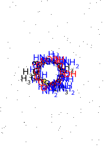 CCCC[C@@H]1NC(=O)CSC[C@@H](C(=O)NCC(N)=O)NC(=O)[C@H](Cc2cncn2C)NC(=O)[C@H](CCCNC(=N)N)NC(=O)[C@H](Cc2c[nH]cn2)NC(=O)[C@H](Cc2ccc(O)cc2)N(C)C(=O)[C@H](CCCNC(=N)N)NC(=O)[C@H](CO)NC(=O)CNC(=O)[C@H](Cc2c[nH]cn2)NC(=O)[C@H](Cc2cccc3ccccc23)NC(=O)[C@H](CC)NC1=O